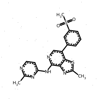 Cc1nccc(Nc2ncc(-c3cccc(S(C)(=O)=O)c3)c3sc(C)nc23)n1